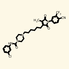 CC1=C(CCCCCCN2CCN(C(=O)Nc3cccc(Cl)c3)CC2)C(=O)N(c2ccc(C#N)c(C(F)(F)F)c2)C1=O